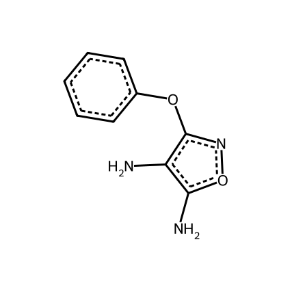 Nc1onc(Oc2ccccc2)c1N